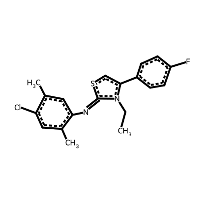 CCn1c(-c2ccc(F)cc2)csc1=Nc1cc(C)c(Cl)cc1C